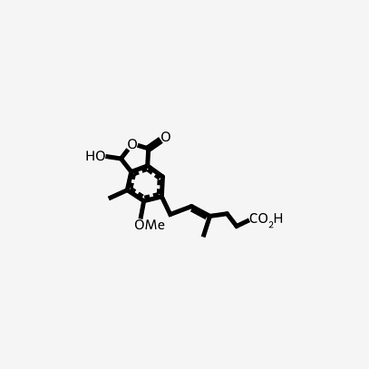 COc1c(C/C=C(\C)CCC(=O)O)cc2c(c1C)C(O)OC2=O